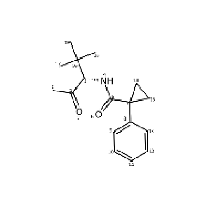 CC(=O)[C@@H](NC(=O)C1(c2ccccc2)CC1)C(C)(C)C